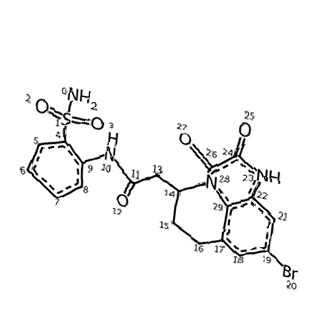 NS(=O)(=O)c1ccccc1NC(=O)CC1CCc2cc(Br)cc3[nH]c(=O)c(=O)n1c23